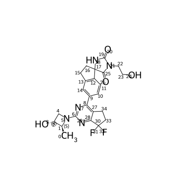 C[C@H]1[C@H](O)CN1c1nc(-c2ccc3c(c2)CCC32NC(=O)N(CCO)C2=O)c2c(n1)C(F)(F)CC2